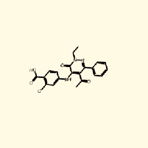 CCn1nc(-c2ccccc2)c(C(C)=O)c(Nc2ccc(C(=O)O)c(Cl)c2)c1=O